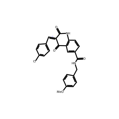 COc1ccc(CNC(=O)c2ccc3c(c2)C(=O)/C(=C\c2ccc(Cl)cc2)C(=O)N3)cc1